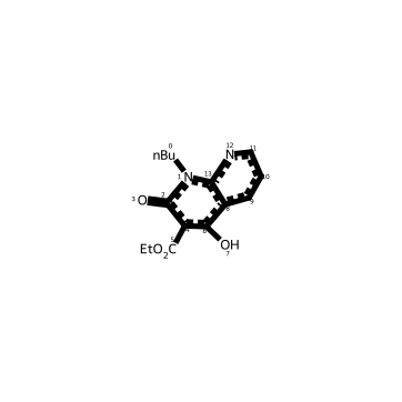 CCCCn1c(=O)c(C(=O)OCC)c(O)c2cccnc21